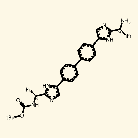 CC(C)[C@H](N)c1ncc(-c2ccc(-c3ccc(-c4cnc([C@@H](NC(=O)OC(C)(C)C)C(C)C)[nH]4)cc3)cc2)[nH]1